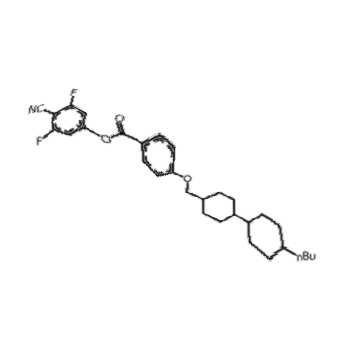 CCCCC1CCC(C2CCC(COc3ccc(C(=O)Oc4cc(F)c(C#N)c(F)c4)cc3)CC2)CC1